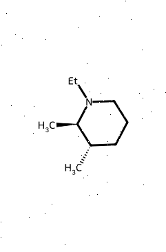 CCN1CCC[C@H](C)[C@H]1C